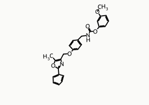 COc1cccc(OC(=O)NCc2ccc(OCc3nc(-c4ccccc4)oc3C)cc2)c1